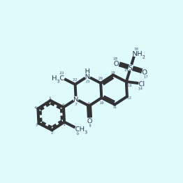 Cc1ccccc1N1C(=O)C2=CCC(Cl)(S(N)(=O)=O)C=C2NC1C